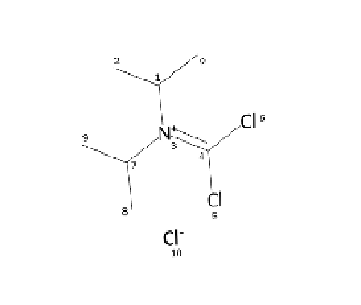 CC(C)[N+](=C(Cl)Cl)C(C)C.[Cl-]